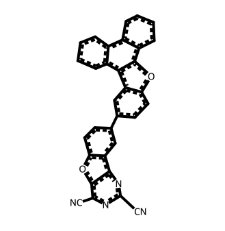 N#Cc1nc(C#N)c2oc3ccc(-c4ccc5oc6c7ccccc7c7ccccc7c6c5c4)cc3c2n1